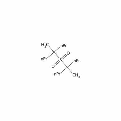 CCCC(C)(CCC)S(=O)(=O)C(C)(CCC)CCC